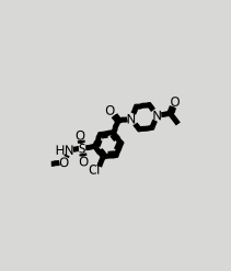 CONS(=O)(=O)c1cc(C(=O)N2CCN(C(C)=O)CC2)ccc1Cl